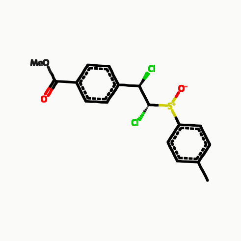 COC(=O)c1ccc([C@@H](Cl)[C@@H](Cl)[S+]([O-])c2ccc(C)cc2)cc1